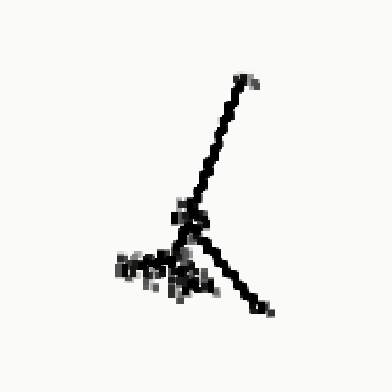 CCCCCCCCCCCCCCCCCCNC(=O)NC(CCCNC(=NC(=O)OC(C)(C)C)NC(=O)OC(C)(C)C)C(=O)NCCCCCCCCCCCC